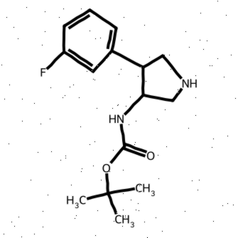 CC(C)(C)OC(=O)NC1CNCC1c1cccc(F)c1